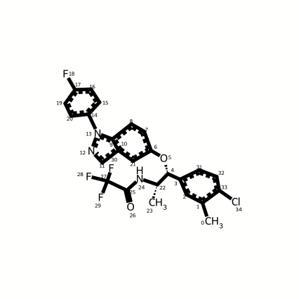 Cc1cc([C@@H](Oc2ccc3c(cnn3-c3ccc(F)cc3)c2)[C@H](C)NC(=O)C(F)(F)F)ccc1Cl